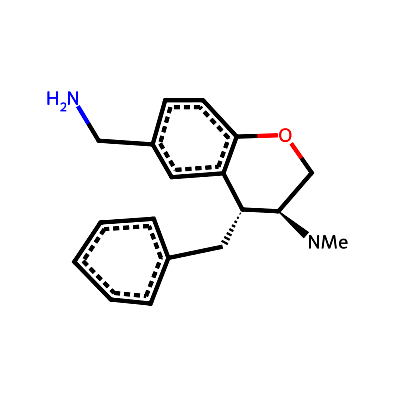 CN[C@@H]1COc2ccc(CN)cc2[C@H]1Cc1ccccc1